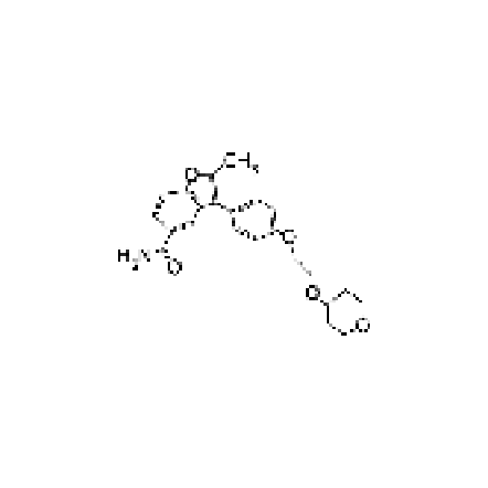 Cc1oc2ccc(C(N)=O)cc2c1-c1ccc(OCCOC2CCOCC2)cc1